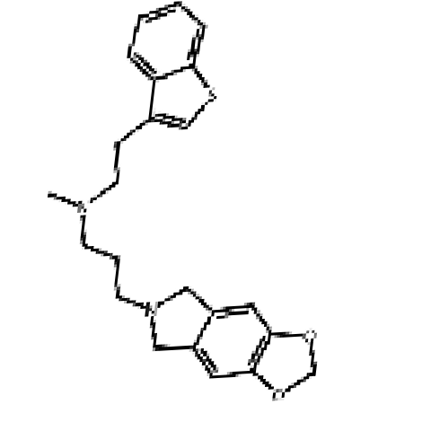 CN(CCCN1Cc2cc3c(cc2C1)OCO3)CCc1csc2ccccc12